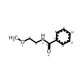 COCCNC(=O)c1ccccc1